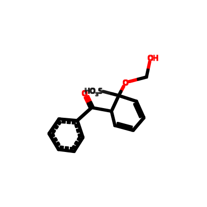 O=C(c1ccccc1)C1C=CC=CC1(OCO)S(=O)(=O)O